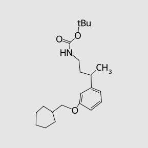 CC(CCNC(=O)OC(C)(C)C)c1cccc(OCC2CCCCC2)c1